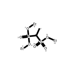 CCOP(=O)(OCC)C(C)S(=O)(=O)OCC